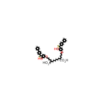 O=C(O)C(CCCCCCC(CCCCOc1ccc(C(=S)c2ccc(-c3ccccc3)cc2)c(O)c1)C(=O)O)CCCCOc1ccc(C(=S)c2ccc(-c3ccccc3)cc2)c(O)c1